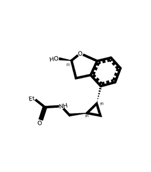 CCC(=O)NC[C@@H]1C[C@H]1c1cccc2c1C[C@@H](O)O2